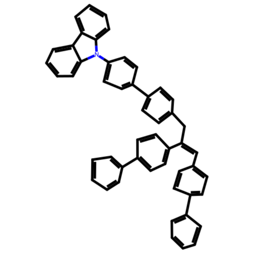 C(=C(\Cc1ccc(-c2ccc(-n3c4ccccc4c4ccccc43)cc2)cc1)c1ccc(-c2ccccc2)cc1)/c1ccc(-c2ccccc2)cc1